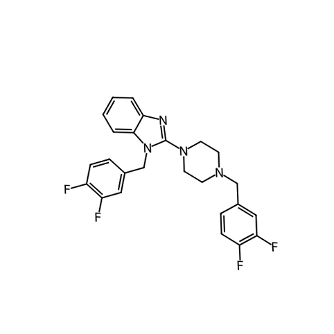 Fc1ccc(CN2CCN(c3nc4ccccc4n3Cc3ccc(F)c(F)c3)CC2)cc1F